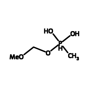 COCO[PH](C)(O)O